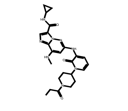 CCC(=O)N1CCC(n2cccc(Nc3cc(NC)c4ncc(C(=O)NC5CC5)n4n3)c2=O)CC1